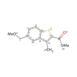 COCc1ccc2sc(C(=O)OC)c(C)c2c1